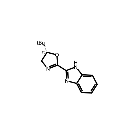 CC(C)(C)[C@H]1CN=C(c2nc3ccccc3[nH]2)O1